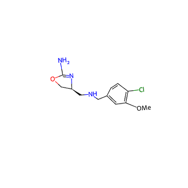 COc1cc(CNC[C@H]2COC(N)=N2)ccc1Cl